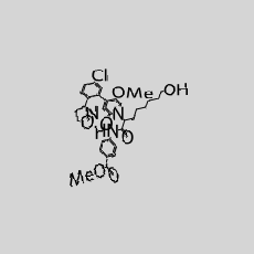 COC(=O)c1ccc(NC(=O)C(CCCCCCO)n2cc(OC)c(-c3cc(Cl)ccc3C3=NOCC3)cc2=O)cc1